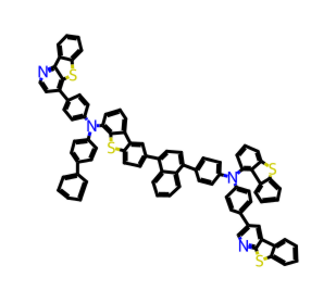 c1ccc(-c2ccc(N(c3ccc(-c4ccnc5c4sc4ccccc45)cc3)c3cccc4c3sc3ccc(-c5ccc(-c6ccc(N(c7ccc(-c8cnc9sc%10ccccc%10c9c8)cc7)c7cccc8sc9ccccc9c78)cc6)c6ccccc56)cc34)cc2)cc1